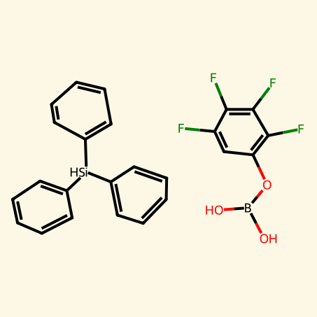 OB(O)Oc1cc(F)c(F)c(F)c1F.c1ccc([SiH](c2ccccc2)c2ccccc2)cc1